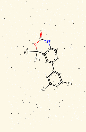 Cc1cc(C#N)cc(-c2ccc3c(c2)C(C)(C)OC(=O)N3)c1